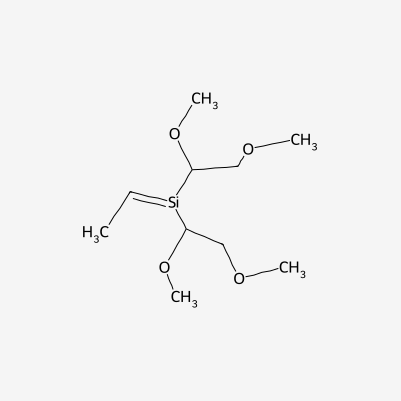 CC=[Si](C(COC)OC)C(COC)OC